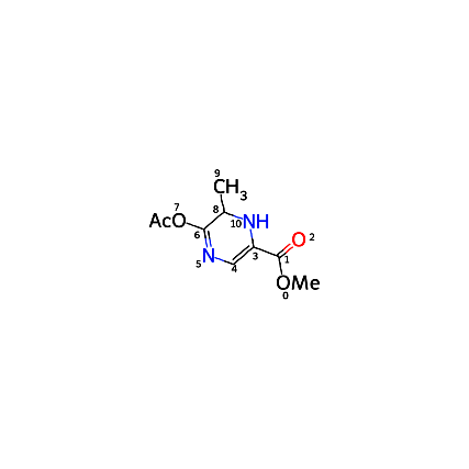 COC(=O)C1=CN=C(OC(C)=O)C(C)N1